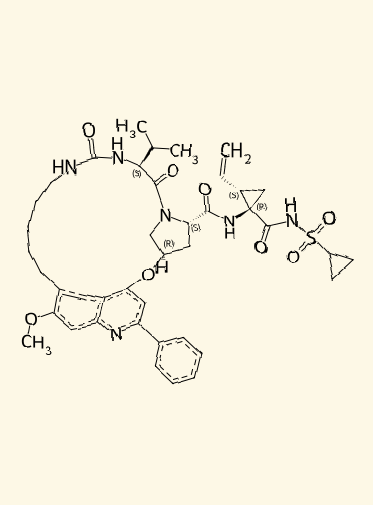 C=C[C@@H]1C[C@]1(NC(=O)[C@@H]1C[C@@H]2CN1C(=O)[C@H](C(C)C)NC(=O)NCCCCCc1cc3c(cc(-c4ccccc4)nc3cc1OC)O2)C(=O)NS(=O)(=O)C1CC1